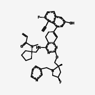 C#Cc1c(F)ccc2cc(O)cc(C3=Cc4nc(OC[C@]5(C)C[C@@H](F)CN5Cc5cccnc5)nc(NCC5(N(C)C(=O)C=C)CCCC5)c4CC3)c12